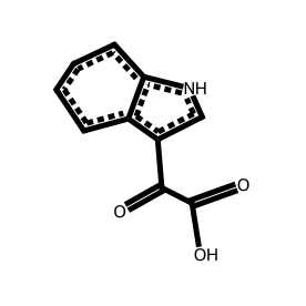 O=C(O)C(=O)c1c[nH]c2ccccc12